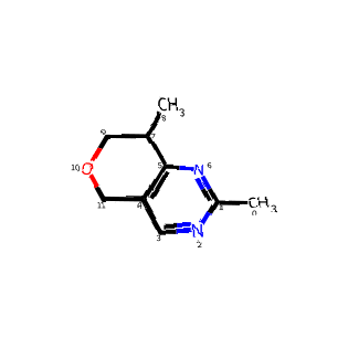 Cc1ncc2c(n1)C(C)COC2